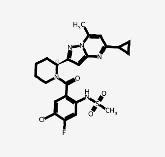 Cc1cc(C2CC2)nc2cc([C@@H]3CCCCN3C(=O)c3cc(Cl)c(F)cc3NS(C)(=O)=O)nn12